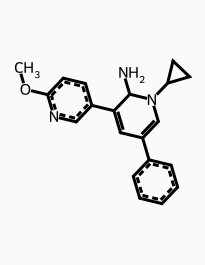 COc1ccc(C2=CC(c3ccccc3)=CN(C3CC3)C2N)cn1